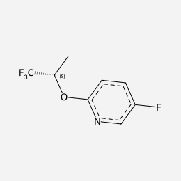 C[C@H](Oc1ccc(F)cn1)C(F)(F)F